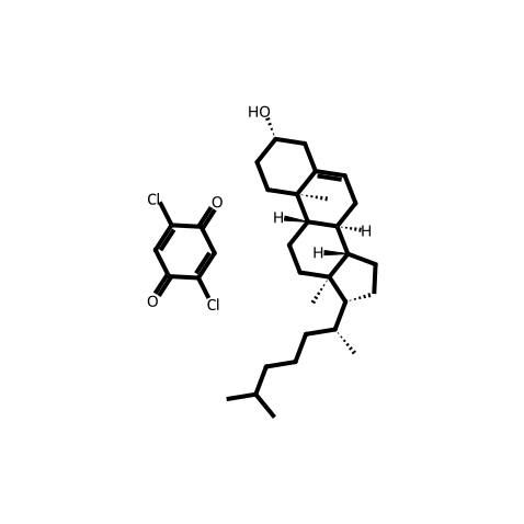 CC(C)CCC[C@@H](C)[C@H]1CC[C@H]2[C@@H]3CC=C4C[C@@H](O)CC[C@]4(C)[C@H]3CC[C@]12C.O=C1C=C(Cl)C(=O)C=C1Cl